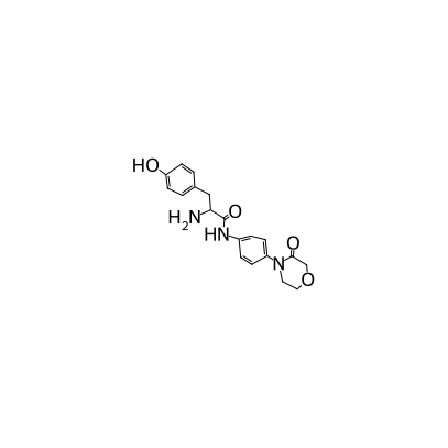 NC(Cc1ccc(O)cc1)C(=O)Nc1ccc(N2CCOCC2=O)cc1